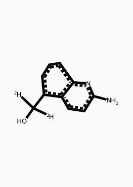 [2H]C([2H])(O)c1cccc2nc(N)ccc12